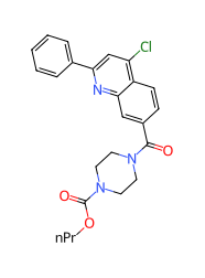 CCCOC(=O)N1CCN(C(=O)c2ccc3c(Cl)cc(-c4ccccc4)nc3c2)CC1